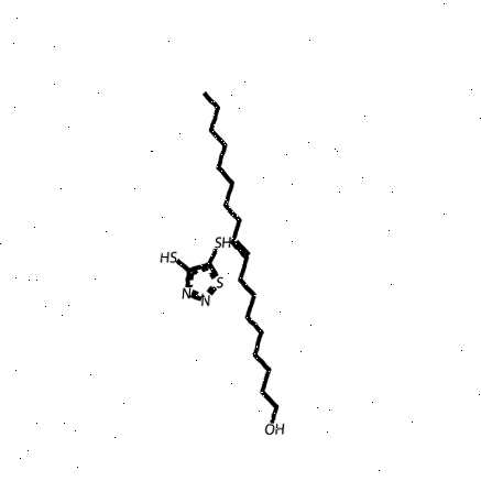 CCCCCCCCC=CCCCCCCCCO.Sc1nnsc1S